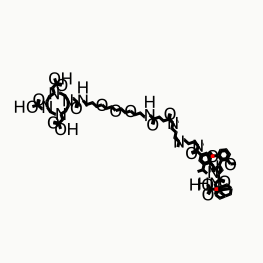 COc1cccc(OC)c1-c1cc(C(=O)NC2(C(=O)O)C3CC4CC(C3)CC2C4)nn1-c1ccc(C(=O)N(C)CCCN(C)CCCN(C)C(=O)CCC(=O)NCCCOCCOCCOCCCNC(=O)CN2CCN(CC(=O)O)CCN(CC(=O)O)CCN(CC(=O)O)CC2)cc1C(C)C